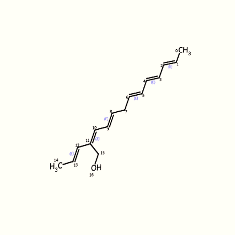 C/C=C/C=C/C=C/C/C=C/C=C(/C=C/C)CO